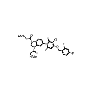 CNCC(=O)N1CN(C(=O)CNC)c2cc(-n3c(C)cc(OCc4ccc(F)cc4F)c(Cl)c3=O)ccc21